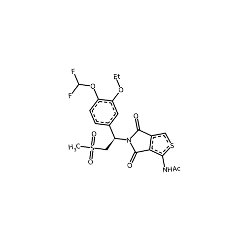 CCOc1cc([C@H](CS(C)(=O)=O)N2C(=O)c3csc(NC(C)=O)c3C2=O)ccc1OC(F)F